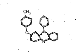 Cc1ccc(Oc2ccc3nc4ccccc4c(-c4ccccc4)c3c2)cc1